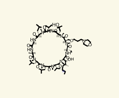 C/C=C/C[C@@H](C)[C@@H](O)[C@H]1C(=O)N[C@@H](CC)C(=O)N(C)[C@H](COCCCN2CCOCC2)C(=O)N(C)[C@@H](CC(C)(C)O)C(=O)N[C@@H](C(C)C)C(=O)N(C)[C@@H](CC(C)C)C(=O)N[C@@H](C)C(=O)N[C@H](C)C(=O)N(C)[C@@H](CC(C)C)C(=O)N(C)[C@@H](CC(C)C)C(=O)N(C)[C@@H](C(C)C)C(=O)N1C